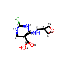 O=C(O)c1cnc(Cl)nc1NCC1COC1